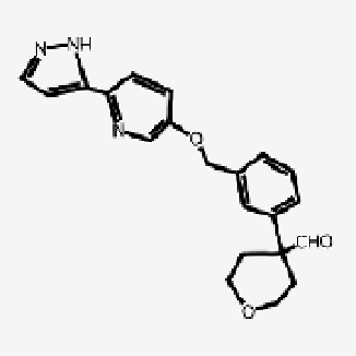 O=CC1(c2cccc(COc3ccc(-c4ccn[nH]4)nc3)c2)CCOCC1